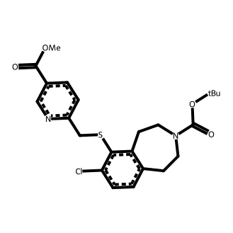 COC(=O)c1ccc(CSc2c(Cl)ccc3c2CCN(C(=O)OC(C)(C)C)CC3)nc1